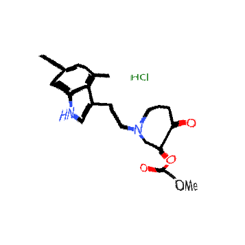 COC(=O)OC1CN(CCc2c[nH]c3cc(C)cc(C)c23)CCC1=O.Cl